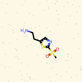 CS(=O)(=O)c1ncc(CCN)s1